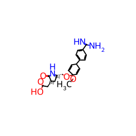 COC1(OC[C@@H]2C[C@@H](CC(=O)O)C(=O)N2)C=CC(c2ccc(C(=N)N)cc2)C=C1